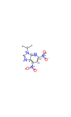 CC(C)n1cnc2c([N+](=O)[O-])cc([N+](=O)[O-])nc21